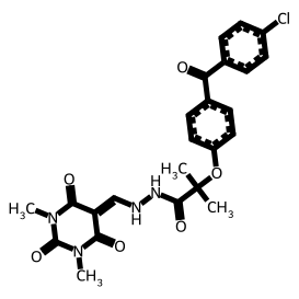 CN1C(=O)C(=CNNC(=O)C(C)(C)Oc2ccc(C(=O)c3ccc(Cl)cc3)cc2)C(=O)N(C)C1=O